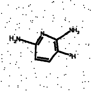 [2H]c1ccc(N)nc1N